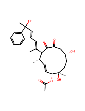 CC(=O)O[C@@H]1/C=C/[C@H](C)[C@@H](/C(C)=C/C=C/C(C)(O)c2ccccc2)C(=O)C(=O)C[C@H](O)CC[C@@]1(C)O